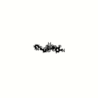 N#Cc1ccc(OP(=O)(O)CNS(=O)(=O)c2ccc(CSc3ccccn3)s2)cc1F